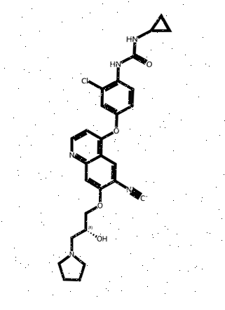 [C-]#[N+]c1cc2c(Oc3ccc(NC(=O)NC4CC4)c(Cl)c3)ccnc2cc1OC[C@H](O)CN1CCCC1